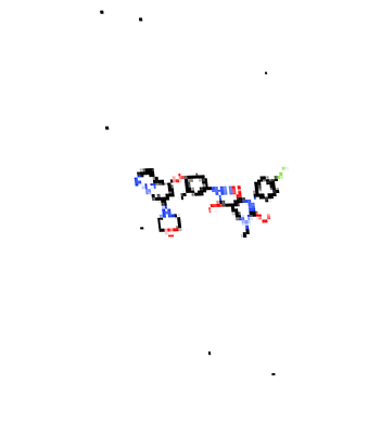 CCn1cc(C(=O)Nc2ccc(Oc3cc(N4CCOCC4)cn4nccc34)c(C)c2)c(=O)n(-c2ccc(F)cc2)c1=O